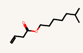 C=CCC(=O)OCCCCCC(C)C